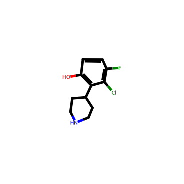 Oc1ccc(F)c(Cl)c1C1CCNCC1